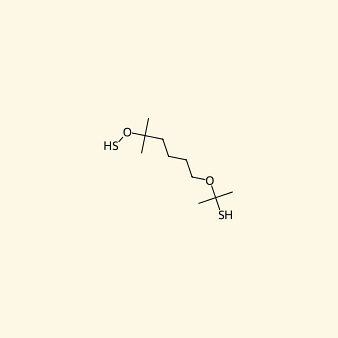 CC(C)(S)OCCCCC(C)(C)OS